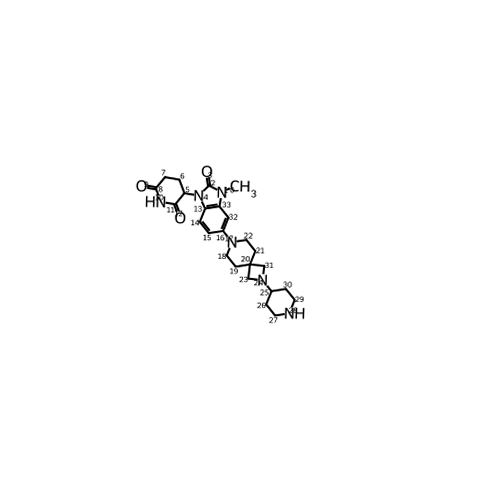 Cn1c(=O)n(C2CCC(=O)NC2=O)c2ccc(N3CCC4(CC3)CN(C3CCNCC3)C4)cc21